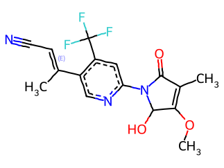 COC1=C(C)C(=O)N(c2cc(C(F)(F)F)c(/C(C)=C/C#N)cn2)C1O